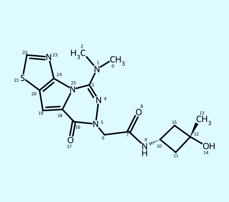 CN(C)c1nn(CC(=O)N[C@H]2C[C@@](C)(O)C2)c(=O)c2cc3scnc3n12